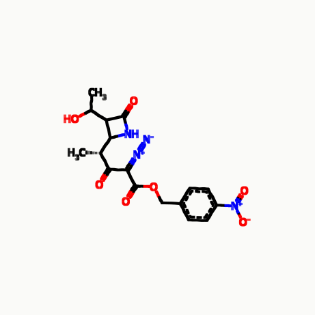 CC(O)C1C(=O)NC1[C@@H](C)C(=O)C(=[N+]=[N-])C(=O)OCc1ccc([N+](=O)[O-])cc1